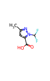 Cc1cc(C(=O)O)n(C(F)F)n1